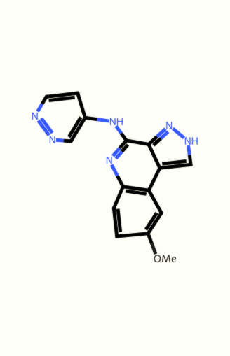 COc1ccc2nc(Nc3ccnnc3)c3n[nH]cc3c2c1